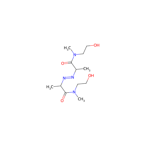 CC(N=NC(C)C(=O)N(C)CCO)C(=O)N(C)CCO